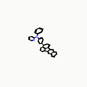 c1ccc(N(c2ccc(-c3ccc4c5c(cccc35)-c3cc5ccccc5cc3-4)cc2)c2ccccn2)cc1